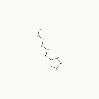 CCCCCSC1CCCC1